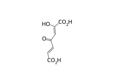 O=C(O)C=CC(=O)C=C(O)C(=O)O